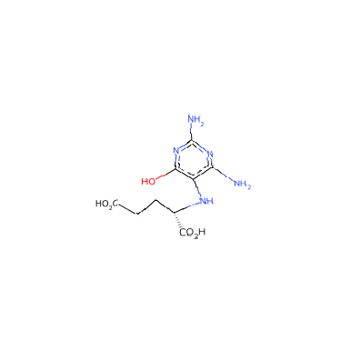 Nc1nc(N)c(N[C@@H](CCC(=O)O)C(=O)O)c(O)n1